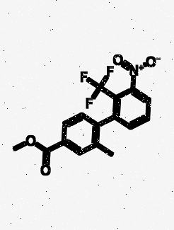 COC(=O)c1ccc(-c2cccc([N+](=O)[O-])c2C(F)(F)F)c(C)c1